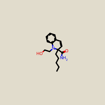 CCCCCC1(C(N)=O)C=Cc2ccccc2N1CCO